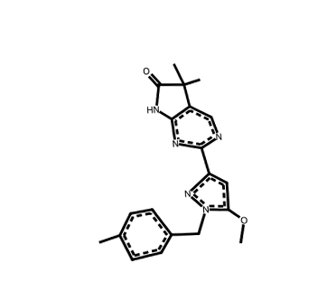 COc1cc(-c2ncc3c(n2)NC(=O)C3(C)C)nn1Cc1ccc(C)cc1